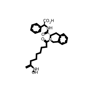 C=C(CCCCCCC(=O)N1Cc2ccccc2C[C@H]1C(=O)N[C@H](C(=O)O)c1ccccc1)NO